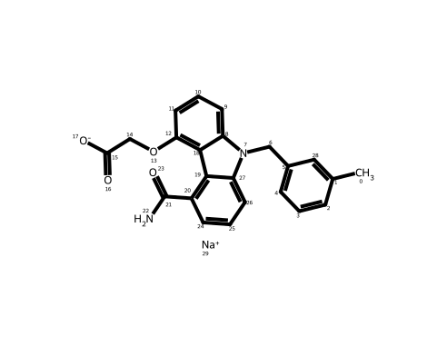 Cc1cccc(Cn2c3cccc(OCC(=O)[O-])c3c3c(C(N)=O)cccc32)c1.[Na+]